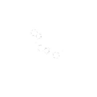 O=C(/C=C\n1cnc(-c2cc(C(F)(F)F)cc(C(F)(F)F)c2)n1)Nn1ccc2ccccc21